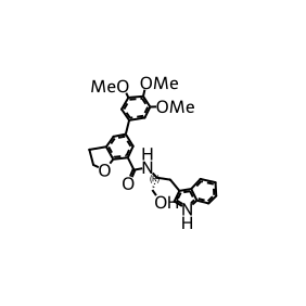 COc1cc(-c2cc3c(c(C(=O)N[C@@H](CO)Cc4c[nH]c5ccccc45)c2)OCC3)cc(OC)c1OC